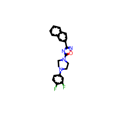 Fc1ccc(N2CCN(c3nc(-c4ccc5ccccc5c4)no3)CC2)cc1F